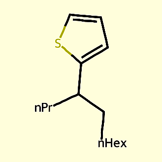 CCCCCCCC(CCC)c1cccs1